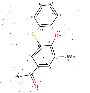 COc1cc(C(=O)C(C)C)cc(Sc2ccccc2)c1O